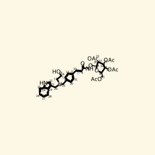 CC(=O)OC[C@H]1O[C@@H](ONC(=O)/C=C/c2ccc(CN(CCO)Cc3c[nH]c4ccccc34)cc2)[C@H](OC(C)=O)[C@@H](OC(C)=O)[C@H]1OC(C)=O